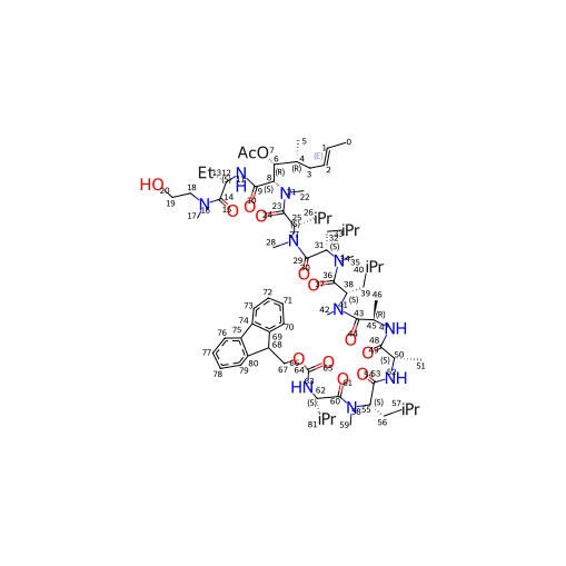 C/C=C/C[C@@H](C)[C@@H](OC(C)=O)[C@@H](C(=O)N[C@@H](CC)C(=O)N(C)CCO)N(C)C(=O)[C@H](C(C)C)N(C)C(=O)[C@H](CC(C)C)N(C)C(=O)[C@H](CC(C)C)N(C)C(=O)[C@@H](C)NC(=O)[C@H](C)NC(=O)[C@H](CC(C)C)N(C)C(=O)[C@@H](NC(=O)OCC1c2ccccc2-c2ccccc21)C(C)C